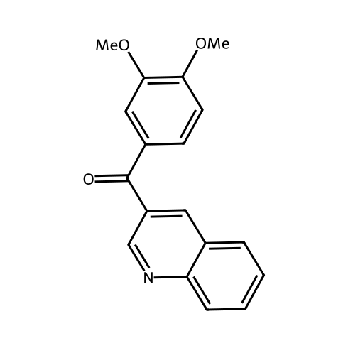 COc1ccc(C(=O)c2cnc3ccccc3c2)cc1OC